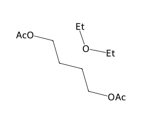 CC(=O)OCCCCOC(C)=O.CCOCC